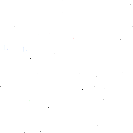 O=C(OCc1ccc(Cl)cc1)SC(c1ccc(Cl)cc1)C(Cl)n1ccnc1